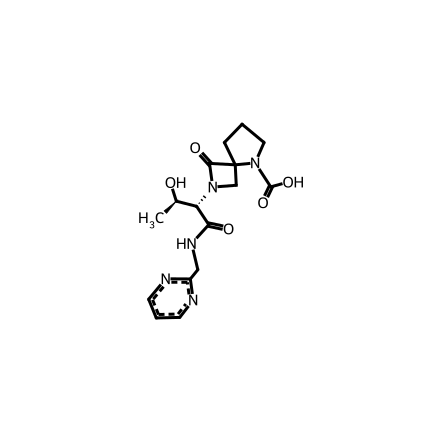 C[C@@H](O)[C@@H](C(=O)NCc1ncccn1)N1CC2(CCCN2C(=O)O)C1=O